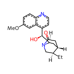 CC[C@H]1CN2C(=O)C[C@H]1C[C@@H]2[C@@H](O)c1ccnc2ccc(OC)cc12